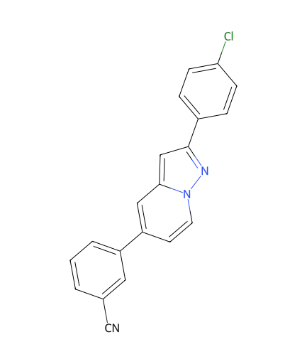 N#Cc1cccc(-c2ccn3nc(-c4ccc(Cl)cc4)cc3c2)c1